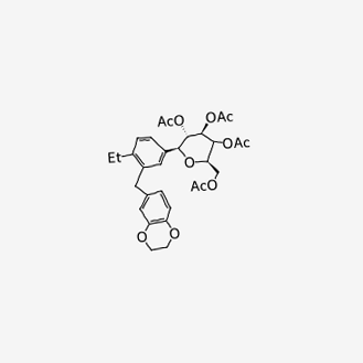 CCc1ccc([C@@H]2O[C@H](COC(C)=O)C(OC(C)=O)[C@H](OC(C)=O)[C@H]2OC(C)=O)cc1Cc1ccc2c(c1)OCCO2